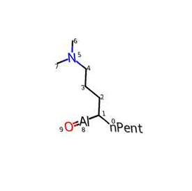 CCCCC[CH](CCCN(C)C)[Al]=[O]